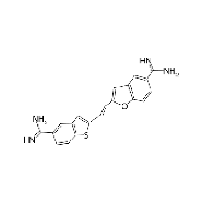 N=C(N)c1ccc2oc(/C=C/c3cc4cc(C(=N)N)ccc4s3)cc2c1